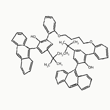 CC(C)(C)c1cc(-c2ccccc2OCCCCOc2ccccc2-c2cc(C(C)(C)C)cc(-c3c4ccccc4cc4ccccc34)c2O)c(O)c(-c2c3ccccc3cc3ccccc23)c1